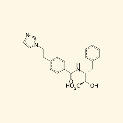 O=C(N[C@H](Cc1ccccc1)[C@@H](O)C(=O)O)c1ccc(CCn2ccnc2)cc1